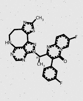 Cc1nc2c(s1)-c1nn([C@H](C)c3nc4ccc(F)cn4c(=O)c3-c3cccc(F)c3)c3ncnc(c13)NCC2